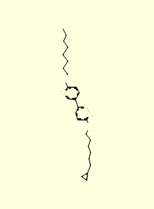 CCCCCCCCOc1ccc(-c2ccc(OCCCCCCC3CC3)nn2)cn1